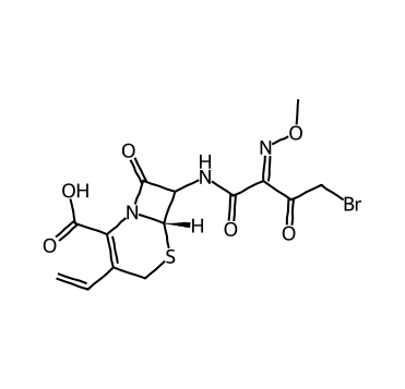 C=CC1=C(C(=O)O)N2C(=O)C(NC(=O)C(=NOC)C(=O)CBr)[C@@H]2SC1